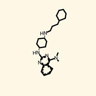 CN(C)c1nc(N[C@H]2CC[C@@H](NCCCC3CCCCC3)CC2)nc2ccccc12